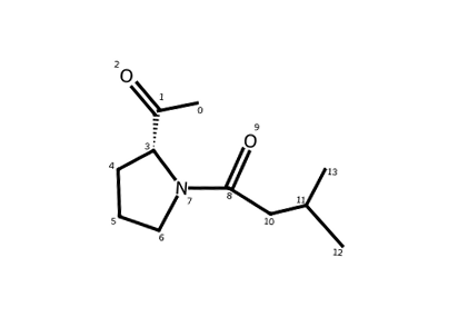 CC(=O)[C@H]1CCCN1C(=O)CC(C)C